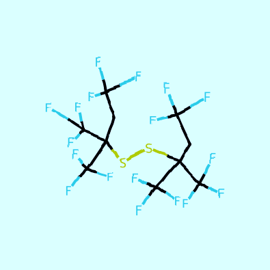 FC(F)(F)CC(SSC(CC(F)(F)F)(C(F)(F)F)C(F)(F)F)(C(F)(F)F)C(F)(F)F